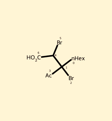 CCCCCCC(Br)(C(C)=O)C(Br)C(=O)O